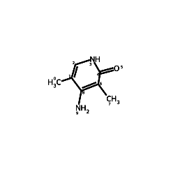 Cc1c[nH]c(=O)c(C)c1N